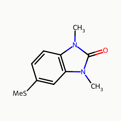 CSc1ccc2c(c1)n(C)c(=O)n2C